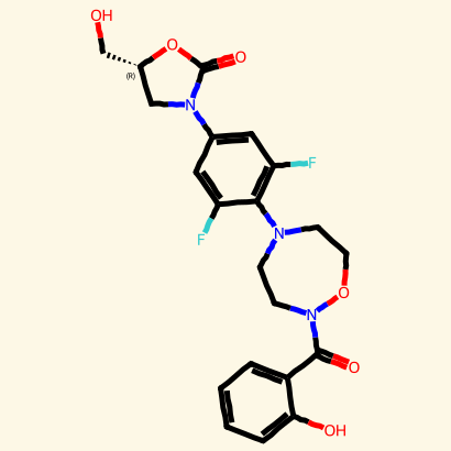 O=C(c1ccccc1O)N1CCN(c2c(F)cc(N3C[C@H](CO)OC3=O)cc2F)CCO1